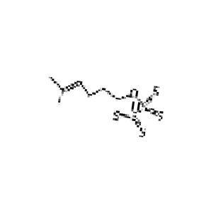 CC(C)=CCCCOS(=S)(=S)[SH](=S)=S